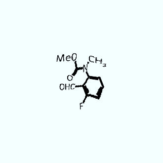 COC(=O)N(C)c1cccc(F)c1C=O